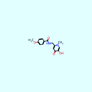 COc1ccc(C(=O)NCc2cc(=O)c(O)cn2C)cc1